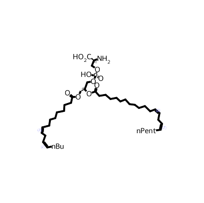 CCCC/C=C\C/C=C\CCCCCCCC(=O)OC[C@H](COP(=O)(O)OC[C@H](N)C(=O)O)OC(=O)CCCCCCCCCCC/C=C\C/C=C\CCCCC